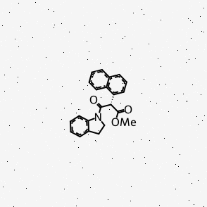 COC(=O)[C@H](C(=O)N1CCc2ccccc21)c1cccc2ccccc12